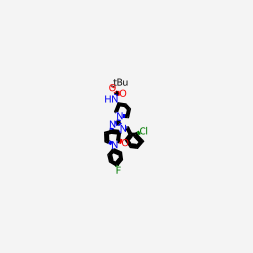 CC(C)(C)OC(=O)N[C@@H]1CCCN(c2nc3ccn(-c4ccc(F)cc4)c(=O)c3n2Cc2ccccc2Cl)C1